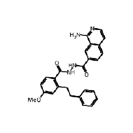 COc1ccc(C(=O)NNC(=O)c2ccc3ccnc(N)c3c2)c(CCc2ccccc2)c1